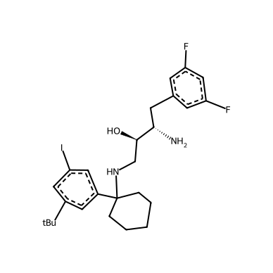 CC(C)(C)c1cc(I)cc(C2(NC[C@@H](O)[C@@H](N)Cc3cc(F)cc(F)c3)CCCCC2)c1